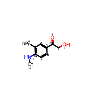 CCCc1cc(C(=O)CO)ccc1NCC